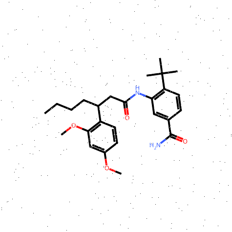 CCCCC(CC(=O)Nc1cc(C(N)=O)ccc1C(C)(C)C)c1ccc(OC)cc1OC